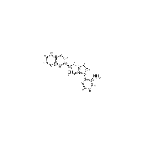 CN(C[C@@H]1COC(c2ccccc2N)=N1)c1ccc2ccccc2c1